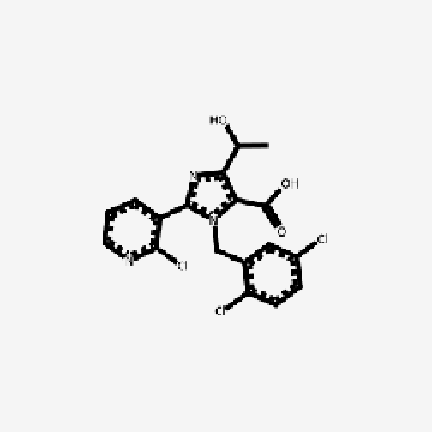 CC(O)c1nc(-c2cccnc2Cl)n(Cc2cc(Cl)ccc2Cl)c1C(=O)O